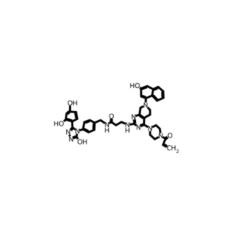 C=CC(=O)N1CCN(c2nc(NCCC(=O)NCc3ccc(-n4c(O)nnc4-c4ccc(O)cc4O)cc3)nc3c2CCN(c2cc(O)cc4ccccc24)C3)CC1